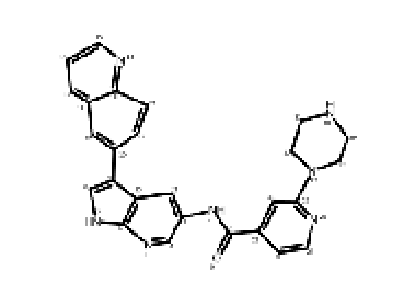 O=C(Nc1cnc2[nH]cc(-c3ccc4ncccc4c3)c2c1)c1ccnc(N2CCNCC2)c1